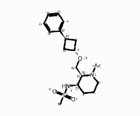 CC(=O)N1CCC[C@@H](NS(C)(=O)=O)[C@H]1CO[C@H]1C[C@H](c2ccccc2)C1